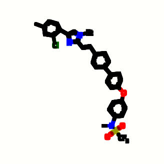 CCn1cc(-c2ccc(C)cc2Cl)nc1/C=C/c1ccc(-c2ccc(Oc3ccc(N(C)S(=O)(=O)C(F)(F)F)cc3)cc2)cc1